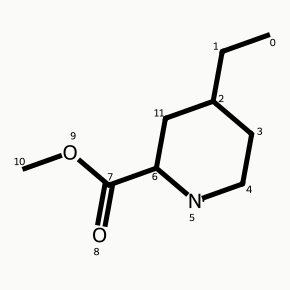 CCC1CC[N]C(C(=O)OC)C1